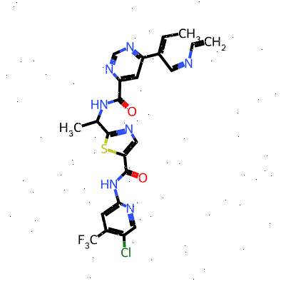 C=C/N=C\C(=C/C)c1cc(C(=O)NC(C)c2ncc(C(=O)Nc3cc(C(F)(F)F)c(Cl)cn3)s2)ncn1